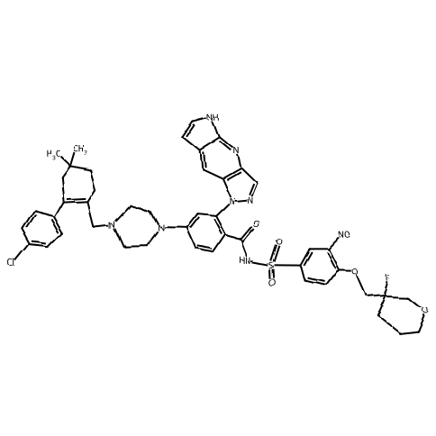 CC1(C)CCC(CN2CCN(c3ccc(C(=O)NS(=O)(=O)c4ccc(OCC5(F)CCCOC5)c(N=O)c4)c(-n4ncc5nc6[nH]ccc6cc54)c3)CC2)=C(c2ccc(Cl)cc2)C1